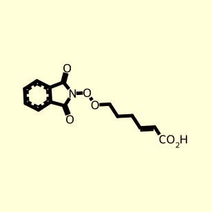 O=C(O)C=CCCCOON1C(=O)c2ccccc2C1=O